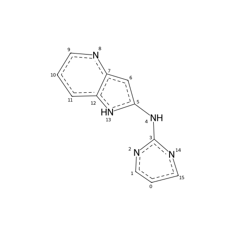 c1cnc(Nc2cc3ncccc3[nH]2)nc1